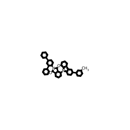 Cc1cccc(-c2ccc3c(c2)c2ccccc2n3-c2cccc3c2C(=O)N(c2ccc(-c4ccccc4)cc2-c2ccccc2)C3=O)c1